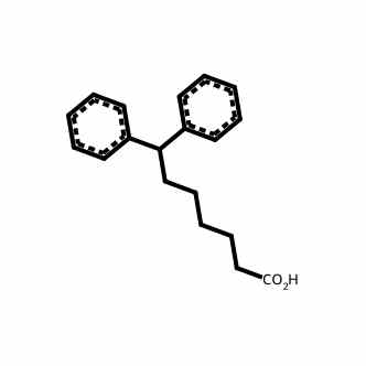 O=C(O)CCCCCC(c1ccccc1)c1ccccc1